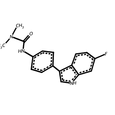 CN(C)C(=O)Nc1ccc(-c2c[nH]c3cc(F)ccc23)cc1